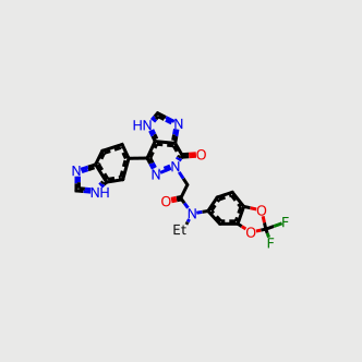 CCN(C(=O)Cn1nc(-c2ccc3nc[nH]c3c2)c2[nH]cnc2c1=O)c1ccc2c(c1)OC(F)(F)O2